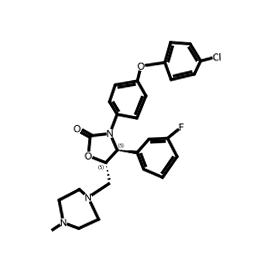 CN1CCN(C[C@@H]2OC(=O)N(c3ccc(Oc4ccc(Cl)cc4)cc3)[C@H]2c2cccc(F)c2)CC1